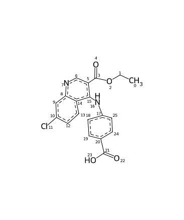 CCOC(=O)c1cnc2cc(Cl)ccc2c1Nc1ccc(C(=O)O)cc1